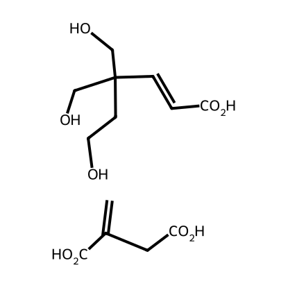 C=C(CC(=O)O)C(=O)O.O=C(O)C=CC(CO)(CO)CCO